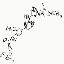 Cc1cc(-c2ccnc(Nc3cnn([C@@H]4CCN(C)C[C@H]4F)c3)n2)ccc1CNC(=O)N1CC(OC(C)C)C1